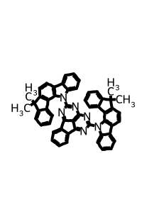 CC1(C)c2ccccc2-c2c1ccc1c3ccccc3n(-c3nc4c5c(nc(-n6c7ccccc7c7ccc8c(c76)-c6ccccc6C8(C)C)nc5n3)-c3ccccc3-4)c21